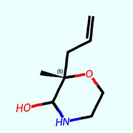 C=CC[C@]1(C)OCCNC1O